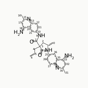 C=CCC(CC=C)(C(=O)Nc1ccc2nc(C)cc(N)c2c1)C(=O)Nc1ccc2nc(C)cc(N)c2c1